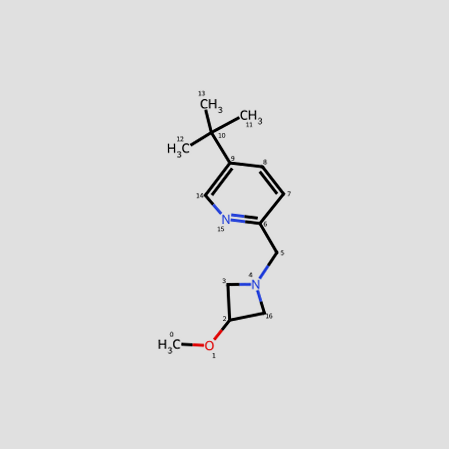 COC1CN(Cc2ccc(C(C)(C)C)cn2)C1